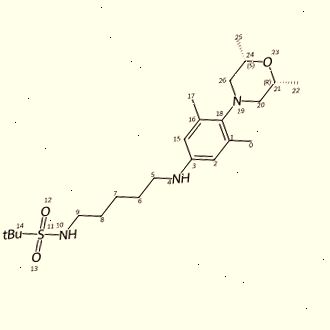 Cc1cc(NCCCCCNS(=O)(=O)C(C)(C)C)cc(C)c1N1C[C@@H](C)O[C@@H](C)C1